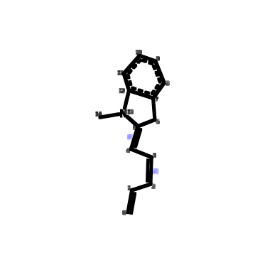 C=C/C=C\C=C1/Cc2ccccc2N1C